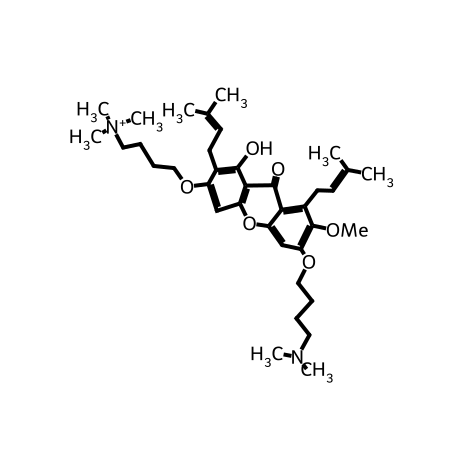 COc1c(OCCCCN(C)C)cc2oc3cc(OCCCC[N+](C)(C)C)c(CC=C(C)C)c(O)c3c(=O)c2c1CC=C(C)C